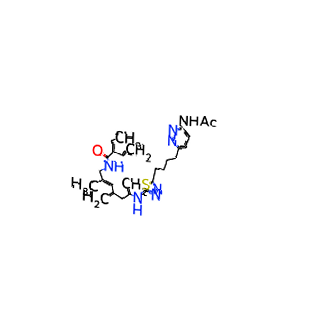 C=C/C(=C\C)C(=O)NC/C(C)=C/C(=C)CC(=C)Nc1nnc(CCCCc2ccc(NC(C)=O)nn2)s1